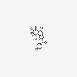 O=C1Nc2c(Cl)cc3cc(C(=O)N4CCC5(CC4)CC5)oc3c2C2(CCCCC2)N1